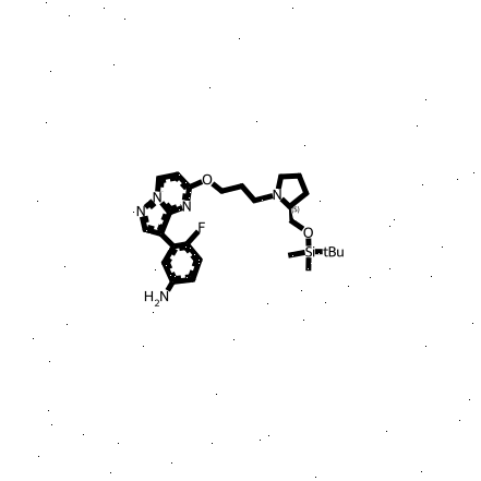 CC(C)(C)[Si](C)(C)OC[C@@H]1CCCN1CCCOc1ccn2ncc(-c3cc(N)ccc3F)c2n1